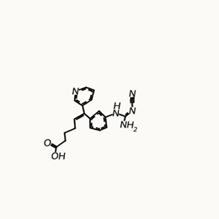 N#C/N=C(/N)Nc1cccc(/C(=C\CCCC(=O)O)c2cccnc2)c1